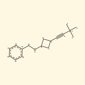 C[Si](C)(C)C#CC1CC(OCc2ccccc2)C1